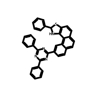 c1ccc(-c2nc(-c3ccccc3)nc(-c3ccc4ccc5ccc6c(c5c4c3)NC(c3ccccc3)S6)n2)cc1